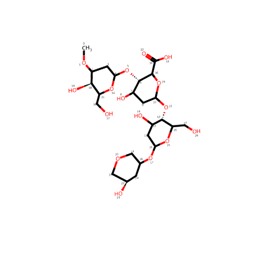 COC1CC(O[C@H]2C(O)CC(O[C@H]3C(O)CC(OC4COC[C@H](O)C4)OC3CO)OC2C(=O)O)OC(CO)[C@H]1O